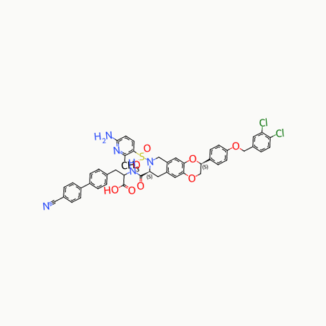 Cc1nc(N)ccc1S(=O)(=O)N1Cc2cc3c(cc2C[C@H]1C(=O)NC(Cc1ccc(-c2ccc(C#N)cc2)cc1)C(=O)O)OC[C@H](c1ccc(OCc2ccc(Cl)c(Cl)c2)cc1)O3